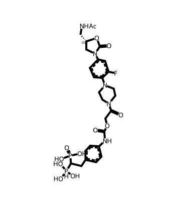 CC(=O)NC[C@H]1CN(c2ccc(N3CCN(C(=O)COC(=O)Nc4ccc(CC(P(=O)(O)O)[PH](O)(O)O)cc4)CC3)c(F)c2)C(=O)O1